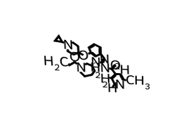 [2H]c1nc(C)c([2H])c(C(=O)Nc2nc3cccc(OC4CCN(C5CC5)CC4)c3n2[C@@H]2CCCCN(C(=O)C=C)C2)c1[2H]